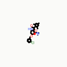 Cc1cc(C)c(C2=C(OC(=O)N(C)C)C3(CCC(OCc4cccc(Cl)c4)CC3)NC2=O)c(C)c1